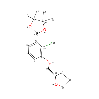 CC1(C)OB(c2cccc(OC[C@H]3CCCO3)c2F)OC1(C)C